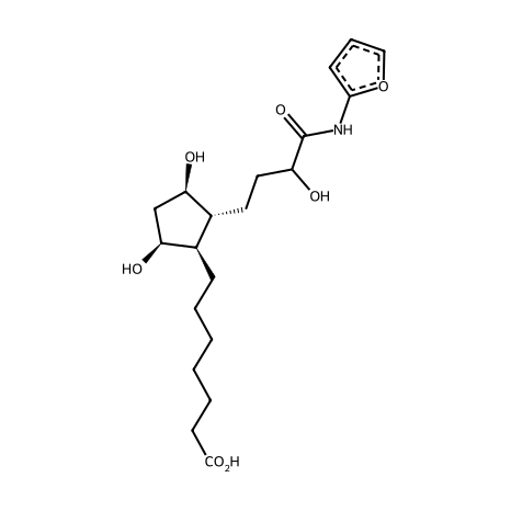 O=C(O)CCCCCC[C@@H]1[C@@H](CCC(O)C(=O)Nc2ccco2)[C@H](O)C[C@@H]1O